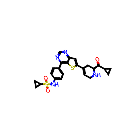 O=C(C1CC1)C1CC(c2cc3ncnc(-c4ccc(NS(=O)(=O)C5CC5)cc4)c3s2)=CCN1